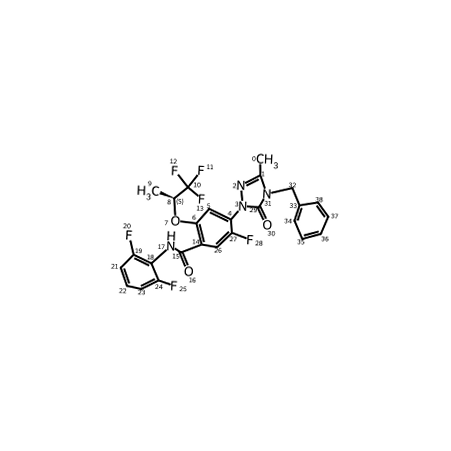 Cc1nn(-c2cc(O[C@@H](C)C(F)(F)F)c(C(=O)Nc3c(F)cccc3F)cc2F)c(=O)n1Cc1ccccc1